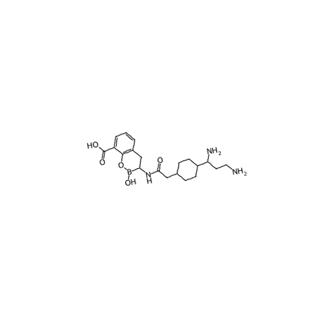 NCCC(N)C1CCC(CC(=O)NC2Cc3cccc(C(=O)O)c3OB2O)CC1